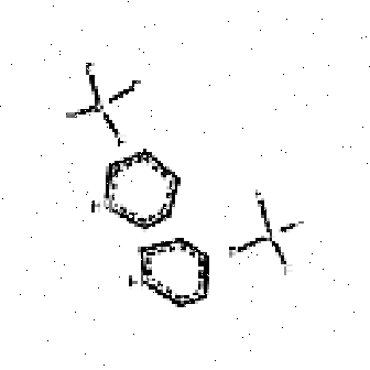 F[B-](F)(F)F.F[B-](F)(F)F.c1cc[nH+]cc1.c1cc[nH+]cc1